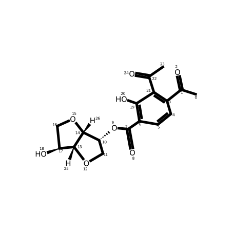 CC(=O)c1ccc(C(=O)O[C@@H]2CO[C@H]3[C@@H]2OC[C@@H]3O)c(O)c1C(C)=O